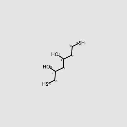 OC(CS)CC(O)CCS